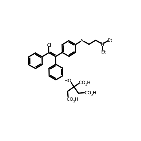 CCN(CC)CCSc1ccc(C(=C(Cl)c2ccccc2)c2ccccc2)cc1.O=C(O)CC(O)(CC(=O)O)C(=O)O